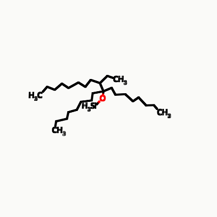 CCCCCCCCC(CC)C(CCCCCCCC)(CCCCCCCC)O[SiH3]